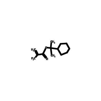 C=C(C(=O)OC(C)(C)C1CCCCC1)C(F)(F)F